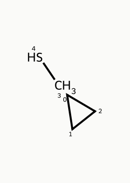 C1CC1.CS